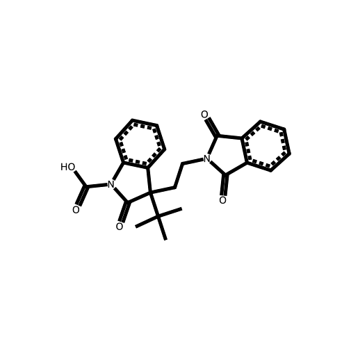 CC(C)(C)C1(CCN2C(=O)c3ccccc3C2=O)C(=O)N(C(=O)O)c2ccccc21